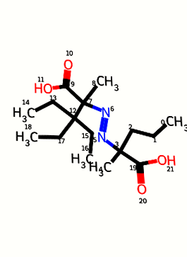 CCCC(C)(/N=N/C(C)(C(=O)O)C(CC)(CC)CC)C(=O)O